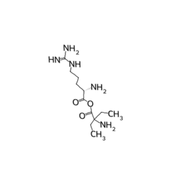 CCC(N)(CC)C(=O)OC(=O)[C@@H](N)CCCNC(=N)N